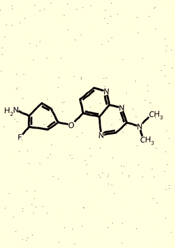 CN(C)c1cnc2c(Oc3ccc(N)c(F)c3)ccnc2n1